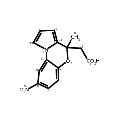 CC1(CC(=O)O)Oc2ccc([N+](=O)[O-])cc2-n2cccc21